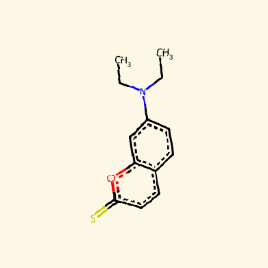 CCN(CC)c1ccc2ccc(=S)oc2c1